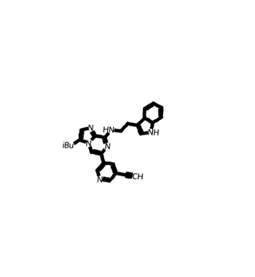 C#Cc1cncc(-c2cn3c(C(C)CC)cnc3c(NCCC3=CNC4C=CC=CC34)n2)c1